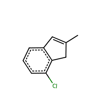 CC1=Cc2cccc(Cl)c2C1